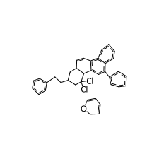 C1=CCOC=C1.ClC1(Cl)CC(CCc2ccccc2)CC2C=Cc3c(cc(-c4ccccc4)c4ccccc34)C21